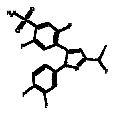 NS(=O)(=O)c1cc(F)c(-c2cc(C(F)F)nn2-c2ccc(F)c(F)c2)cc1F